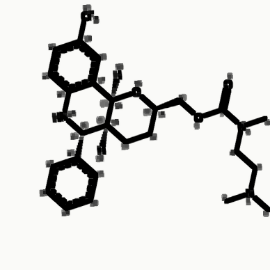 CN(C)CCN(C)C(=O)OC[C@H]1CC[C@@H]2[C@H](O1)c1cc(C(F)(F)F)ccc1N[C@H]2c1ccccc1